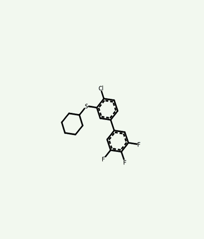 Fc1cc(-c2ccc(Cl)c(SC3CCCCC3)c2)cc(F)c1F